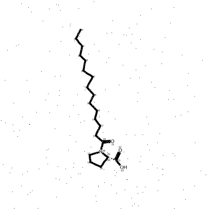 CCCCCCCCCCCCCCC(=O)N1CCC[C@H]1C(=O)O